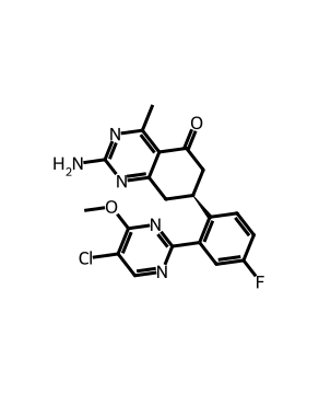 COc1nc(-c2cc(F)ccc2[C@@H]2CC(=O)c3c(C)nc(N)nc3C2)ncc1Cl